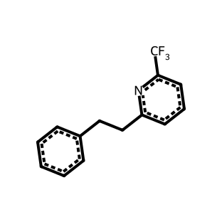 FC(F)(F)c1cccc(CCc2ccccc2)n1